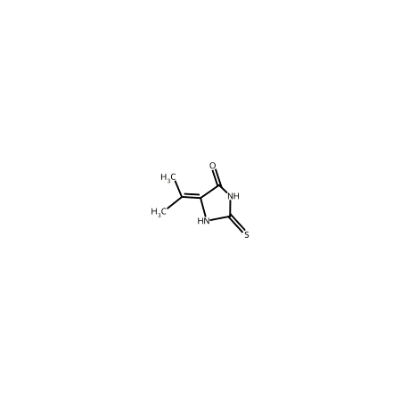 CC(C)=C1NC(=S)NC1=O